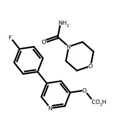 NC(=O)N1CCOCC1.O=C(O)Oc1cncc(-c2ccc(F)cc2)c1